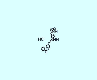 CC(CN1CCC(CCCc2c[nH]c3ccc(CC4COC(=O)N4)cc23)CC1)c1ccccc1.Cl